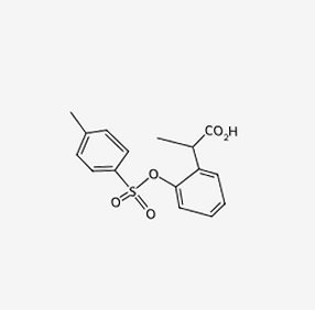 Cc1ccc(S(=O)(=O)Oc2ccccc2C(C)C(=O)O)cc1